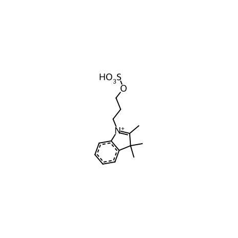 CC1=[N+](CCCOS(=O)(=O)O)c2ccccc2C1(C)C